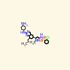 CCCc1cc(-c2cc(NS(=O)(=O)c3ccccc3Cl)nn2C)cc2cnc(NC3CCC(N)CC3)nc12